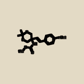 CCCCCCCCc1ccc(C=CC2(NC(=O)OC(C)(C)C)COC(C)(C)OC2)cc1